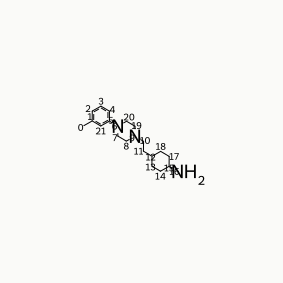 Cc1cccc(N2CCN(CCC3CCC(N)CC3)CC2)c1